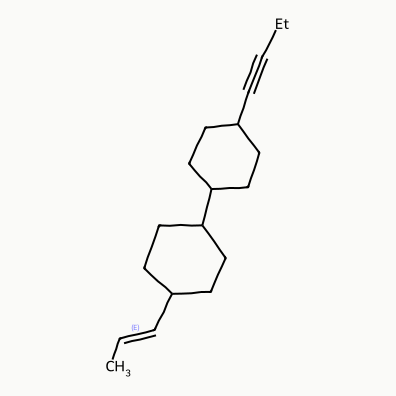 C/C=C/C1CCC(C2CCC(C#CCC)CC2)CC1